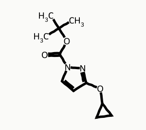 CC(C)(C)OC(=O)n1ccc(OC2CC2)n1